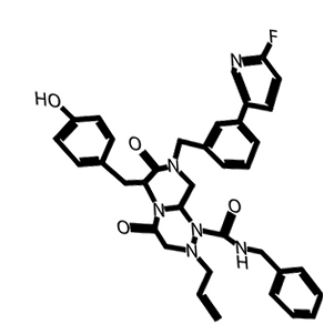 C=CCN1CC(=O)N2C(Cc3ccc(O)cc3)C(=O)N(Cc3cccc(-c4ccc(F)nc4)c3)CC2N1C(=O)NCc1ccccc1